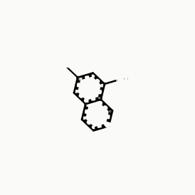 COc1cc(Cl)cc2ccncc12